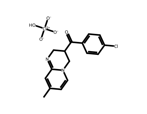 CC1=CC2=NCC(C(=O)c3ccc(Cl)cc3)CN2C=C1.[O-][Cl+3]([O-])([O-])O